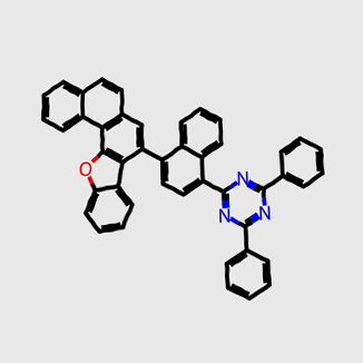 c1ccc(-c2nc(-c3ccccc3)nc(-c3ccc(-c4cc5ccc6ccccc6c5c5oc6ccccc6c45)c4ccccc34)n2)cc1